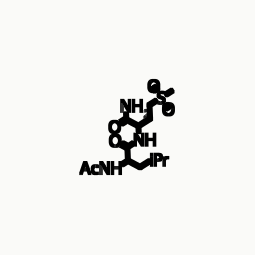 CC(=O)NC(CC(C)C)C(=O)NC(CCS(C)(=O)=O)C(N)=O